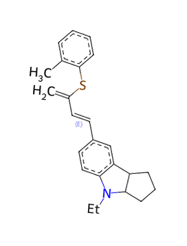 C=C(/C=C/c1ccc2c(c1)C1CCCC1N2CC)Sc1ccccc1C